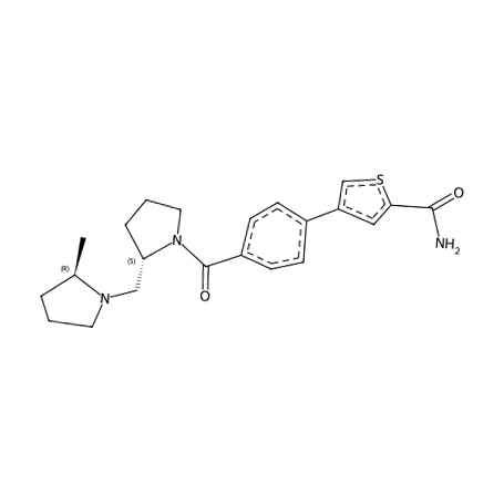 C[C@@H]1CCCN1C[C@@H]1CCCN1C(=O)c1ccc(-c2csc(C(N)=O)c2)cc1